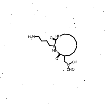 NCCCC[C@@H]1NC(=O)C(CN(O)C=O)CCCCCCCNC1=O